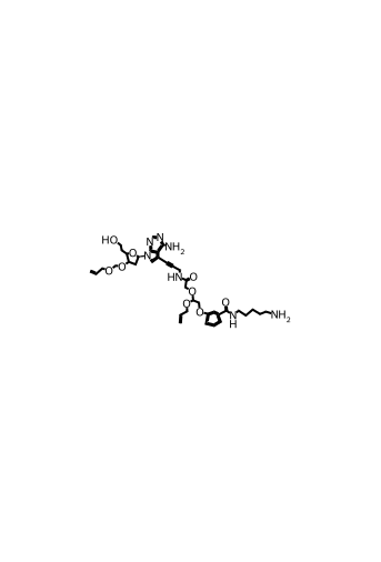 C=CCOCOC1C[C@H](n2cc(C#CCNC(=O)COC(COc3cccc(C(=O)NCCCCCN)c3)OCC=C)c3c(N)ncnc32)OC1CCO